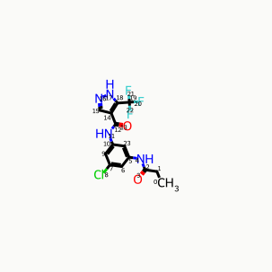 CCC(=O)Nc1cc(Cl)cc(NC(=O)c2cn[nH]c2C(F)(F)F)c1